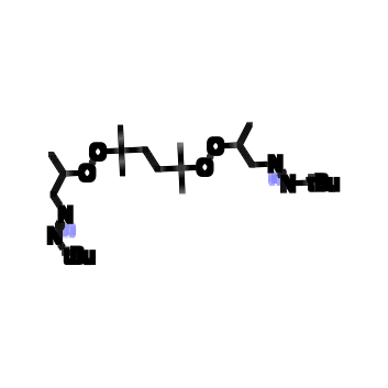 CC(C/N=N/C(C)(C)C)OOC(C)(C)CCC(C)(C)OOC(C)C/N=N/C(C)(C)C